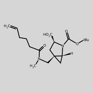 C=CCCCC(=O)N(C)C[C@@]12C[C@@H](C(=O)O)N(C(=O)OC(C)(C)C)[C@@H]1C2